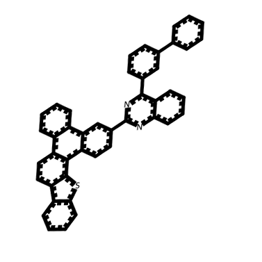 c1ccc(-c2cccc(-c3nc(-c4ccc5c(c4)c4ccccc4c4ccc6c7ccccc7sc6c45)nc4ccccc34)c2)cc1